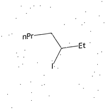 CCCCC(I)CC